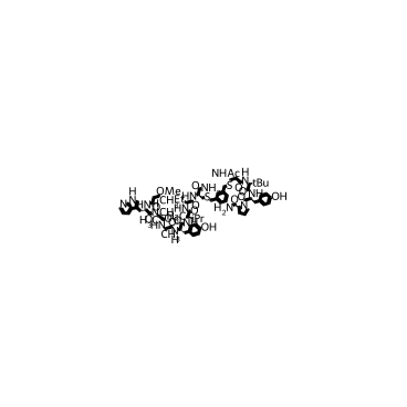 CC[C@H](NC(=O)[C@@](C)(NC(=O)[C@H](Cc1ccc(O)cc1)NC(=O)[C@H](C)NC(=O)C(C)(C)NC(=O)[C@H](Cc1c[nH]c2ncccc12)NC(=O)C[C@@H](C)OC)C(C)C)C(=O)N[C@H](CSCc1cccc(CSC[C@H](NC(C)=O)C(=O)N[C@H](C(=O)N[C@@H](Cc2ccc(O)cc2)C(=O)N2CCC[C@H]2C(N)=O)C(C)(C)C)c1)C(N)=O